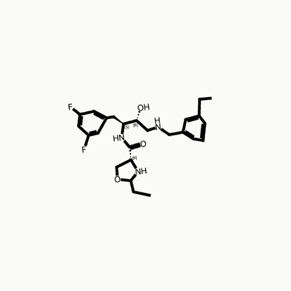 CCc1cccc(CNC[C@@H](O)[C@H](Cc2cc(F)cc(F)c2)NC(=O)[C@H]2COC(CC)N2)c1